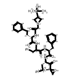 CC(C)CC[C@H](NC(=O)[C@H](Cc1ccccc1)NC(=O)C(CC(C)C)NC(=O)[C@H](CCc1ccccc1)NC(=O)CN1CC([Si](C)(C)O)C1)C(=O)[C@@]1(C)CO1